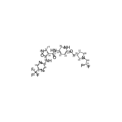 Cc1noc(Nc2cnc(C(F)(F)F)cn2)c1C(=O)NC1=CC=C(OC[C@H]2CCN(CC(F)F)C2)NC1